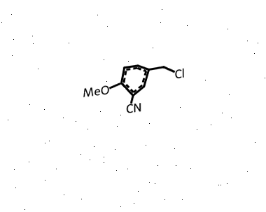 COc1ccc(CCl)cc1C#N